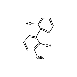 CC(C)COc1cccc(-c2ccccc2O)c1O